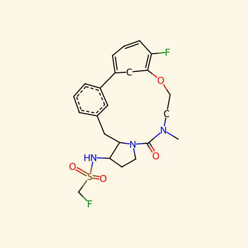 CN1CCOC2=C(F)C=CC=C(C2)c2cccc(c2)CC2C(NS(=O)(=O)CF)CCN2C1=O